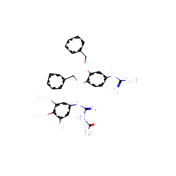 N=C(N)Nc1ccc(OCc2ccccc2)c(OCc2ccccc2)c1.N=C(NC(N)=O)Nc1cc(O)c(O)c(O)c1